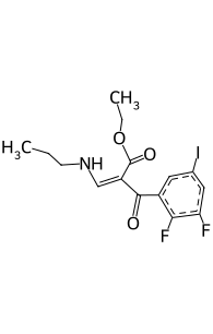 CCCNC=C(C(=O)OCC)C(=O)c1cc(I)cc(F)c1F